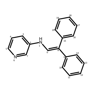 C(Nc1cccnc1)=C(c1ccccc1)c1ccccc1